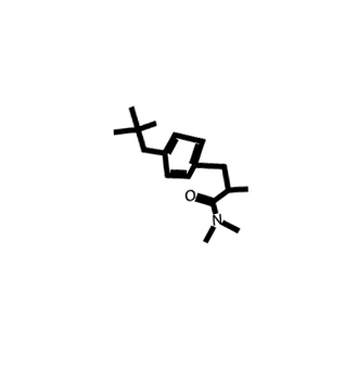 CC(Cc1ccc(CC(C)(C)C)cc1)C(=O)N(C)C